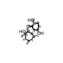 C[C@@H]1C[C@H](C)[C@@H](c2c(O)ccn(O)c2=O)[C@H](C)[C@@](C)(O)C1